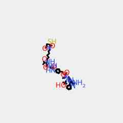 CCN(Cc1nc2c(N)nc3ccccc3c2n1CC(C)(C)O)C(=O)OCc1ccc(NC(=O)CNC(=O)C(NC(=O)CCCCCN2C(=O)CC(S)C2=O)C(C)C)cc1